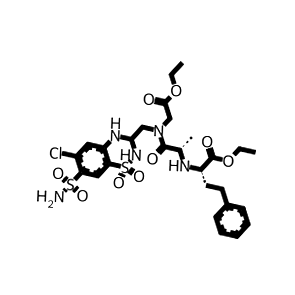 CCOC(=O)CN(CC1Nc2cc(Cl)c(S(N)(=O)=O)cc2S(=O)(=O)N1)C(=O)[C@H](C)N[C@@H](CCc1ccccc1)C(=O)OCC